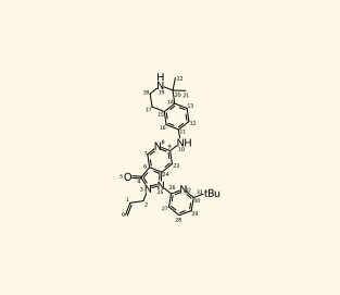 C=CCn1c(=O)c2cnc(Nc3ccc4c(c3)CCNC4(C)C)cc2n1-c1cccc(C(C)(C)C)n1